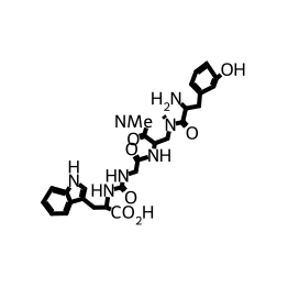 CNC(=O)C(CN(C)C(=O)C(N)Cc1cccc(O)c1)NC(=O)CNC(=O)NC(Cc1c[nH]c2ccccc12)C(=O)O